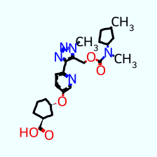 CC1CCC(N(C)C(=O)OCc2c(-c3ccc(O[C@H]4CCC[C@H](C(=O)O)C4)cn3)nnn2C)C1